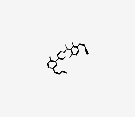 C#C/C=C\c1ccc(C)c(B(C)C/C=C\C(=C/C)c2cc(/C=C\C=C)ccc2C)c1C